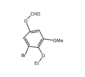 CCOc1c(Br)cc(OC=O)cc1OC